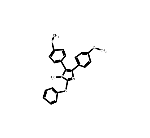 COc1ccc(-c2nc(Sc3ccccc3)n(C)c2-c2ccc(OC)cc2)cc1